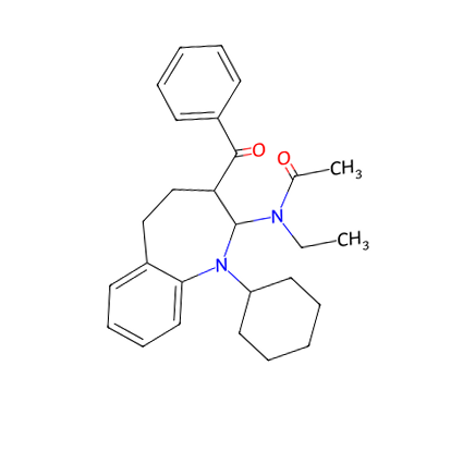 CCN(C(C)=O)C1C(C(=O)c2ccccc2)CCc2ccccc2N1C1CCCCC1